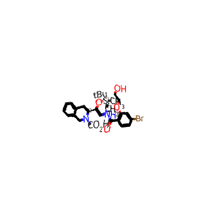 CC(C)(C)[Si](C)(C)OC(CNC(=O)c1ccc(Br)cc1OCCO)[C@@H]1Cc2ccccc2CN1C(=O)O